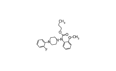 CCCOC(=O)N(c1ccccc1OC)N1CCN(c2ccccc2F)CC1